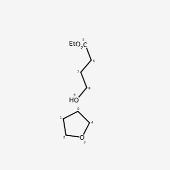 C1CCOC1.CCOC(=O)CCCO